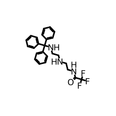 O=C(NCCNCCNC(c1ccccc1)(c1ccccc1)c1ccccc1)C(F)(F)F